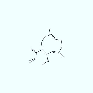 C=C(C=O)C1CC/C(C)=C/CC/C(C)=C/C1OC